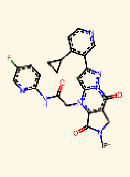 CC(C)N1Cc2c(n(CC(=O)Nc3ccc(F)cn3)c3cc(-c4cnccc4C4CC4)nn3c2=O)C1=O